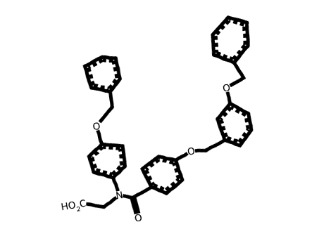 O=C(O)CN(C(=O)c1ccc(OCc2cccc(OCc3ccccc3)c2)cc1)c1ccc(OCc2ccccc2)cc1